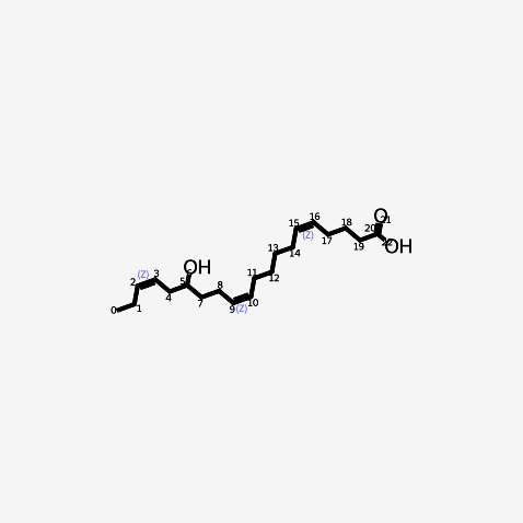 CC/C=C\CC(O)CC/C=C\CCCC/C=C\CCCC(=O)O